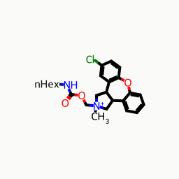 CCCCCCNC(=O)OC[N+]1(C)CC2c3ccccc3Oc3ccc(Cl)cc3C2C1